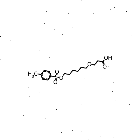 Cc1ccc(S(=O)(=O)OCCCCCCOCCC(=O)O)cc1